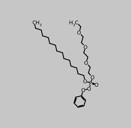 CCCCCCCCCCCCCCCOP(=O)(OCCOCCOCCOCC)OOc1ccccc1